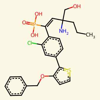 CCCC(N)(C=C(c1ccc(-c2sccc2OCc2ccccc2)cc1Cl)P(=O)(O)O)CO